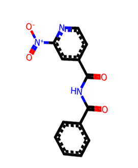 O=C(NC(=O)c1ccnc([N+](=O)[O-])c1)c1ccccc1